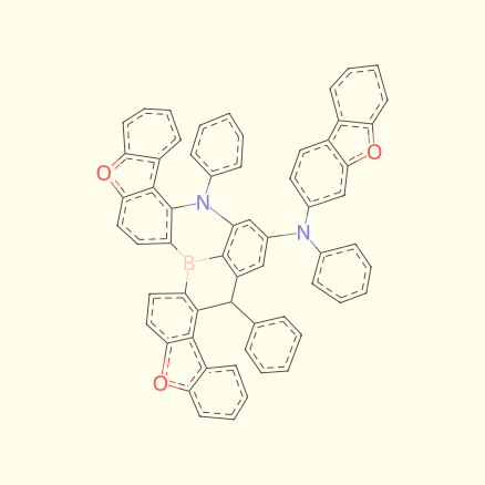 c1ccc(C2c3cc(N(c4ccccc4)c4ccc5c(c4)oc4ccccc45)cc4c3B(c3ccc5oc6ccccc6c5c32)c2ccc3oc5ccccc5c3c2N4c2ccccc2)cc1